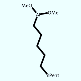 CCCCCCCCC[CH2][Al]([O]C)[O]C